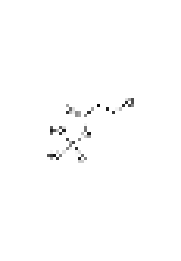 O=C(CCCl)OP(=O)(O)O